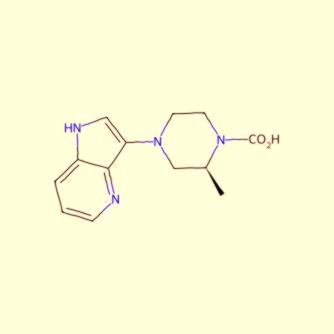 C[C@H]1CN(c2c[nH]c3cccnc23)CCN1C(=O)O